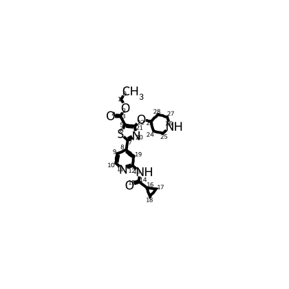 CCOC(=O)c1sc(-c2ccnc(NC(=O)C3CC3)c2)nc1OC1CCNCC1